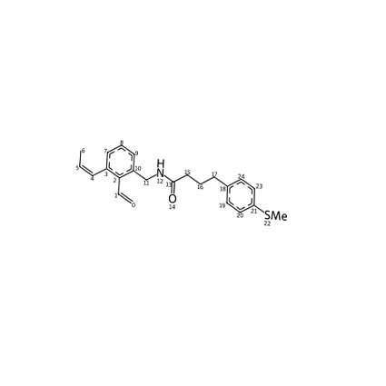 C=Cc1c(/C=C\C)cccc1CNC(=O)CCCc1ccc(SC)cc1